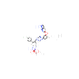 CC1(CNC(=O)OC(C)(C)C)CCC(c2ccc(Cl)cc2)=C(CN2CCN(c3ccc(C(=O)O)c(Oc4cnc5[nH]ccc5c4)c3)CC2)C1